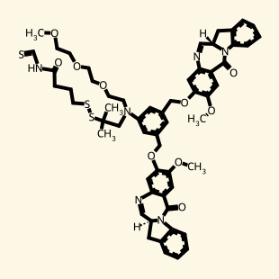 COCCOCCOCCN(CC(C)(C)SSCCCC(=O)NC=S)c1cc(COc2cc3c(cc2OC)C(=O)N2c4ccccc4C[C@H]2C=N3)cc(COc2cc3c(cc2OC)C(=O)N2c4ccccc4C[C@H]2C=N3)c1